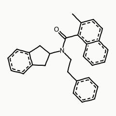 Cc1ccc2ccccc2c1C(=O)N(CCc1ccccc1)C1Cc2ccccc2C1